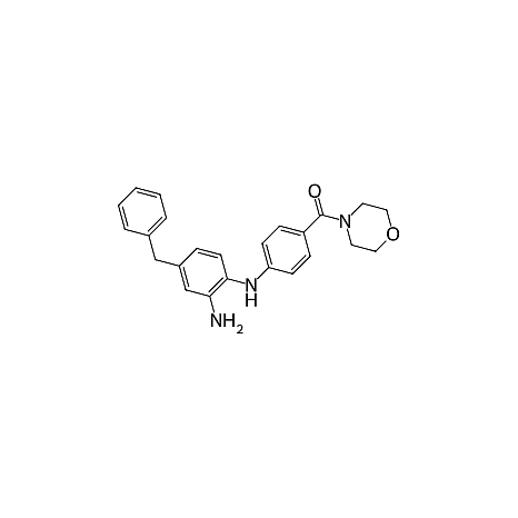 Nc1cc(Cc2ccccc2)ccc1Nc1ccc(C(=O)N2CCOCC2)cc1